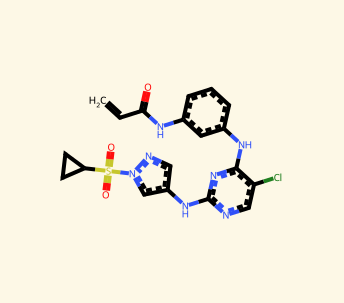 C=CC(=O)Nc1cccc(Nc2nc(Nc3cnn(S(=O)(=O)C4CC4)c3)ncc2Cl)c1